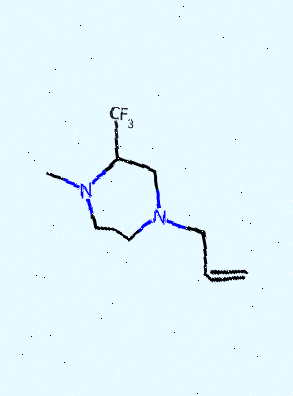 C=CCN1CCN(C)C(C(F)(F)F)C1